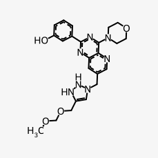 COCOCC1=CN(Cc2cnc3c(N4CCOCC4)nc(-c4cccc(O)c4)nc3c2)NN1